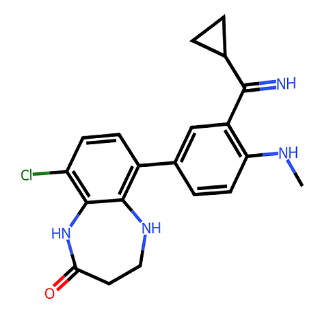 CNc1ccc(-c2ccc(Cl)c3c2NCCC(=O)N3)cc1C(=N)C1CC1